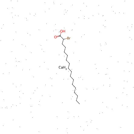 CCCCCCCCCCCCCCCCC(Br)C(=O)O.[CaH2]